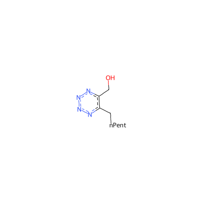 CCCCCCc1nnnnc1CO